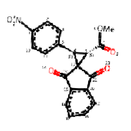 COC(=O)[C@H]1[C@H](c2ccc([N+](=O)[O-])cc2)C12C(=O)c1ccccc1C2=O